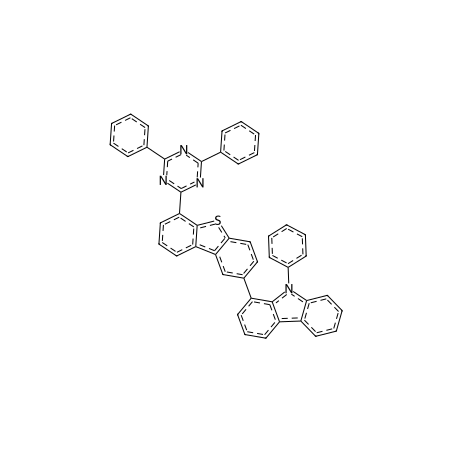 c1ccc(-c2nc(-c3ccccc3)nc(-c3cccc4c3sc3ccc(-c5cccc6c7ccccc7n(-c7ccccc7)c56)cc34)n2)cc1